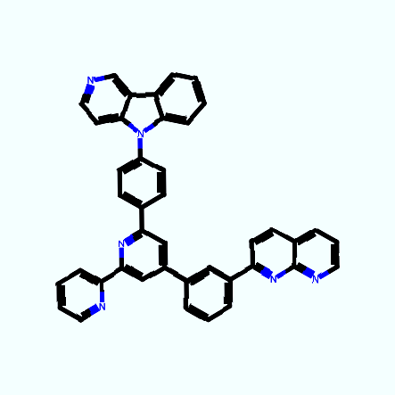 c1ccc(-c2cc(-c3cccc(-c4ccc5cccnc5n4)c3)cc(-c3ccc(-n4c5ccccc5c5cnccc54)cc3)n2)nc1